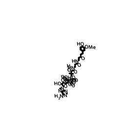 COc1cc(CCC(=O)CCNC(=O)CCNC(=O)C(O)C(C)(C)COP(=O)(O)OP(=O)(O)OCC2OC(n3cnc4c(N)ncnc43)C(O)C2OP(=O)(O)O)ccc1O